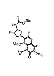 COc1c(N2CC(F)C(NC(=O)OC(C)(C)C)C2)c(F)cc2c(=O)n(N)c(=O)n(C3CC3)c12